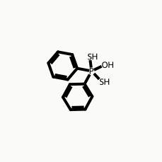 OP(S)(S)(c1ccccc1)c1ccccc1